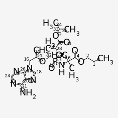 CCCOC(=O)C(C)(C)N[P@](=O)(CO[C@H](C)Cn1cnc2c(N)ncnc21)O[C@@H](C)C(=O)OC(C)C